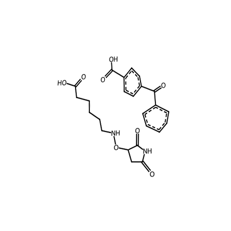 O=C(O)CCCCCNOC1CC(=O)NC1=O.O=C(O)c1ccc(C(=O)c2ccccc2)cc1